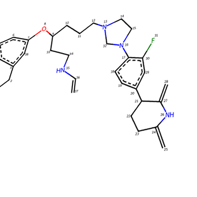 C#CCc1cccc(OC(CCCN2CCN(c3ccc(C4CCC(=C)NC4=C)cc3F)C2)CCNC=C)c1